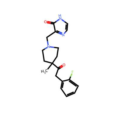 CC1(C(=O)Cc2ccccc2F)CCN(Cc2ncc[nH]c2=O)CC1